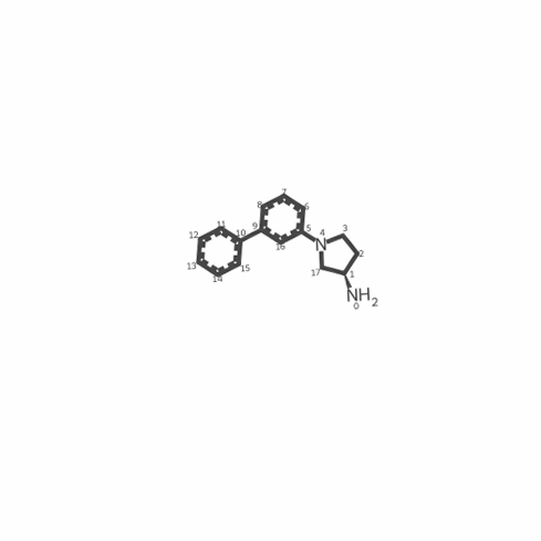 N[C@@H]1CCN(c2cccc(-c3ccccc3)c2)C1